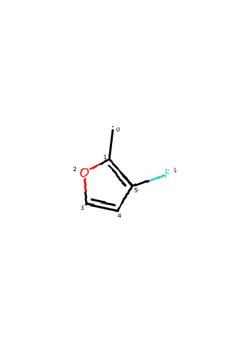 [CH2]c1occc1F